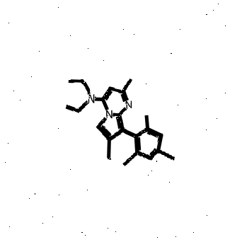 CCN(CC)c1cc(C)nc2c(-c3c(C)cc(C)cc3C)c(C)cn12